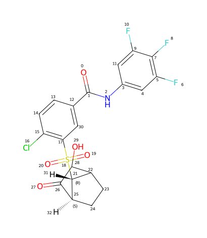 O=C(Nc1cc(F)c(F)c(F)c1)c1ccc(Cl)c(S(=O)(=O)[C@@H]2C3CC[C@H]2C(=O)C3O)c1